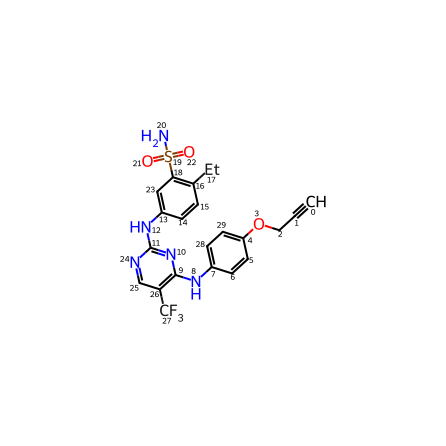 C#CCOc1ccc(Nc2nc(Nc3ccc(CC)c(S(N)(=O)=O)c3)ncc2C(F)(F)F)cc1